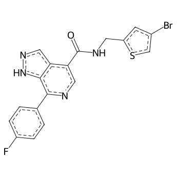 O=C(NCc1cc(Br)cs1)c1cnc(-c2ccc(F)cc2)c2[nH]ncc12